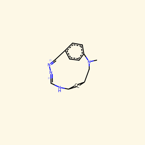 CN1CC2CC(C2)N/C=N/N=C/c2ccc1cc2